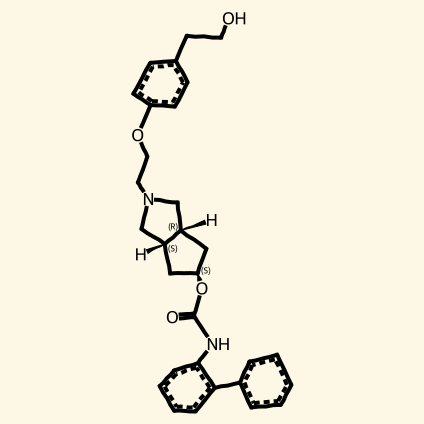 O=C(Nc1ccccc1-c1ccccc1)O[C@H]1C[C@@H]2CN(CCOc3ccc(CCO)cc3)C[C@@H]2C1